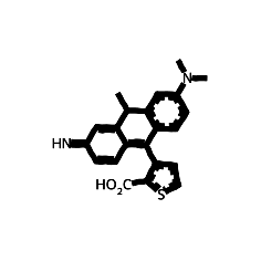 CC1C2=CC(=N)C=CC2=C(c2ccsc2C(=O)O)c2ccc(N(C)C)cc21